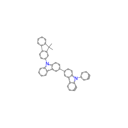 CC1(C)c2ccccc2-c2ccc(-n3c4ccccc4c4cc(-c5ccc6c(c5)c5ccc#cc5n6-c5cc#ccc5)ccc43)cc21